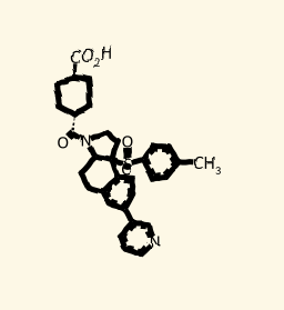 Cc1ccc(S(=O)(=O)C23CCN(C(=O)[C@H]4CC[C@H](C(=O)O)CC4)C2CCc2cc(-c4cccnc4)ccc23)cc1